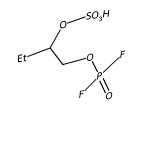 CCC(COP(=O)(F)F)OS(=O)(=O)O